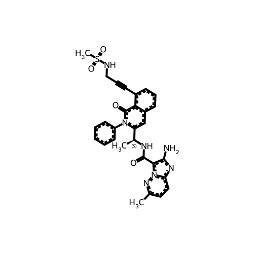 Cc1ccc2nc(N)c(C(=O)N[C@@H](C)c3cc4cccc(C#CCNS(C)(=O)=O)c4c(=O)n3-c3ccccc3)n2n1